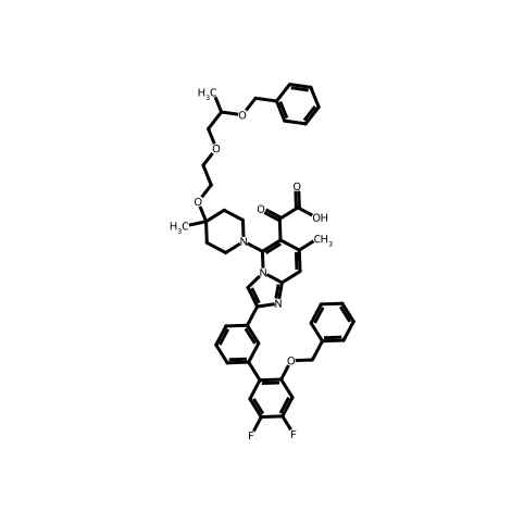 Cc1cc2nc(-c3cccc(-c4cc(F)c(F)cc4OCc4ccccc4)c3)cn2c(N2CCC(C)(OCCOCC(C)OCc3ccccc3)CC2)c1C(=O)C(=O)O